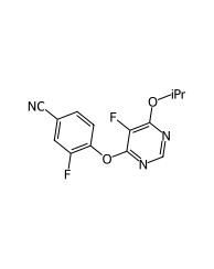 CC(C)Oc1ncnc(Oc2ccc(C#N)cc2F)c1F